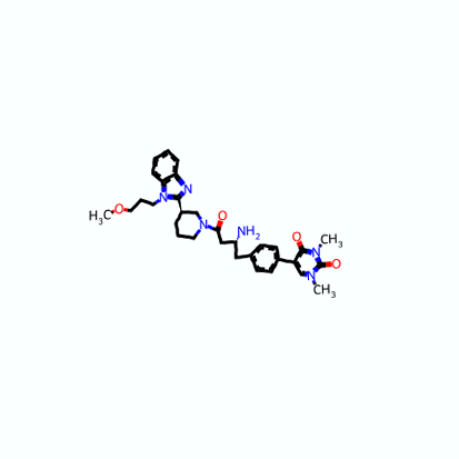 COCCCn1c([C@@H]2CCCN(C(=O)C[C@H](N)Cc3ccc(-c4cn(C)c(=O)n(C)c4=O)cc3)C2)nc2ccccc21